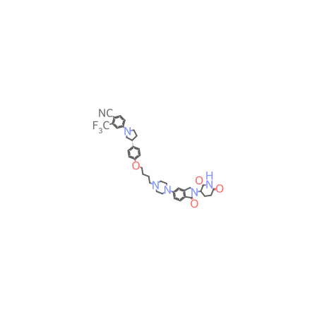 N#Cc1ccc(N2CC[C@H](c3ccc(OCCCCN4CCN(c5ccc6c(c5)CN(C5CCC(=O)NC5=O)C6=O)CC4)cc3)C2)cc1C(F)(F)F